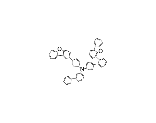 c1ccc(-c2cccc(N(c3ccc(-c4ccc5oc6ccccc6c5c4)cc3)c3ccc(-c4ccccc4-c4cccc5c4oc4ccccc45)cc3)c2)cc1